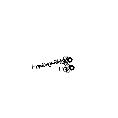 Cc1ccccc1S(=O)(=O)O.Cc1ccccc1S(=O)(=O)O.OCCOCCOCCOCCO